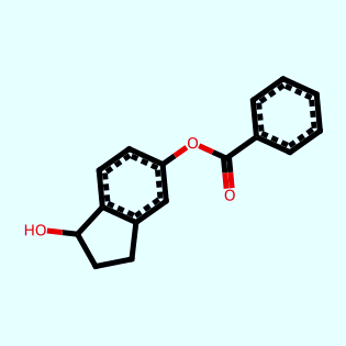 O=C(Oc1ccc2c(c1)CCC2O)c1ccccc1